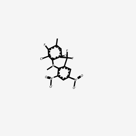 Cc1cc(Cl)c(N(C)c2c([N+](=O)[O-])cc([N+](=O)[O-])cc2C(F)(F)F)c(Cl)c1F